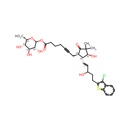 CC1(C)C(=O)[C@H](CC#CCCCC(=O)OC2O[C@H](C(=O)O)[C@@H](O)[C@H](O)[C@H]2O)[C@@H](/C=C/C(O)CCc2sc3ccccc3c2Cl)[C@@H]1O